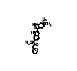 CN(C(=O)CC1CCCCO1)c1ccc2cc(-c3n[nH]c4c3CCC(C)(C)C4)[nH]c2c1